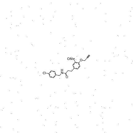 C#CCOc1ccc(CCC(=O)NCc2ccc(Cl)cc2)cc1OC